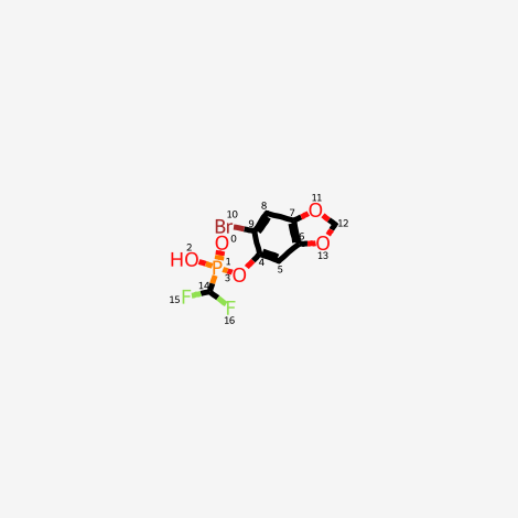 O=P(O)(Oc1cc2c(cc1Br)OCO2)C(F)F